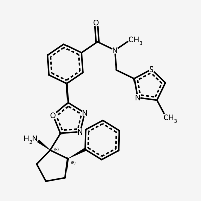 Cc1csc(CN(C)C(=O)c2cccc(-c3nnc([C@@]4(N)CCC[C@@H]4c4ccccc4)o3)c2)n1